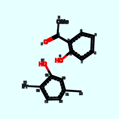 COC(=O)c1ccccc1O.Cc1ccc(C(C)C)c(O)c1